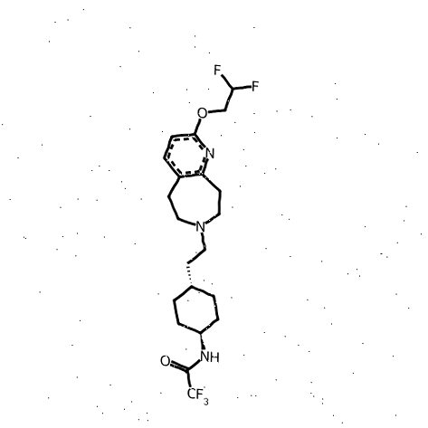 O=C(N[C@H]1CC[C@H](CCN2CCc3ccc(OCC(F)F)nc3CC2)CC1)C(F)(F)F